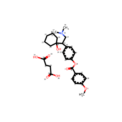 COc1ccc(C(=O)Oc2ccc(C(CN(C)C)C3(O)CCCCC3)cc2)cc1.O=C(O)CCC(=O)O